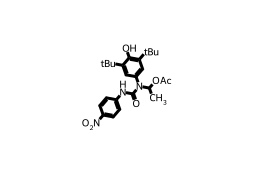 CC(=O)OC(C)N(C(=O)Nc1ccc([N+](=O)[O-])cc1)c1cc(C(C)(C)C)c(O)c(C(C)(C)C)c1